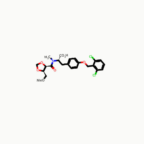 COC[C@H]1OCO[C@H]1C(=O)N(C)[C@@H](Cc1ccc(OCc2c(Cl)cccc2Cl)cc1)C(=O)O